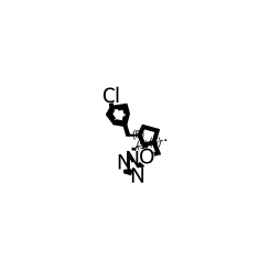 C[C@@]12CC[C@H](Cc3ccc(Cl)cc3)[C@]1(Cn1cncn1)OC2